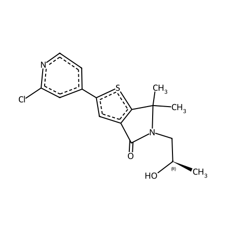 C[C@@H](O)CN1C(=O)c2cc(-c3ccnc(Cl)c3)sc2C1(C)C